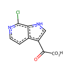 O=C(O)C(=O)c1c[nH]c2c(Cl)nccc12